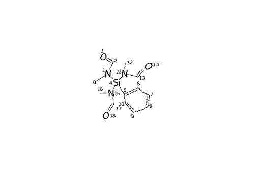 CN(C=O)[Si](c1ccccc1)(N(C)C=O)N(C)C=O